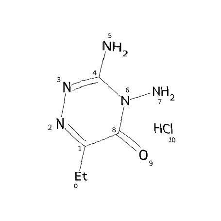 CCc1nnc(N)n(N)c1=O.Cl